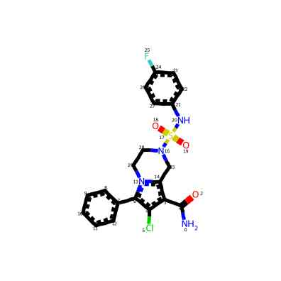 NC(=O)c1c(Cl)c(-c2ccccc2)n2c1CN(S(=O)(=O)Nc1ccc(F)cc1)CC2